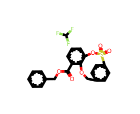 FC(F)F.O=C(OCc1ccccc1)c1cccc2c1OCc1ccc(cc1)S(=O)(=O)O2